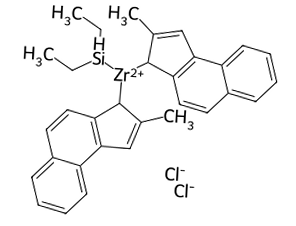 CC[SiH](CC)[Zr+2]([CH]1C(C)=Cc2c1ccc1ccccc21)[CH]1C(C)=Cc2c1ccc1ccccc21.[Cl-].[Cl-]